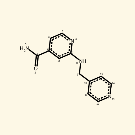 NC(=O)c1ccnc(NCc2ccncc2)c1